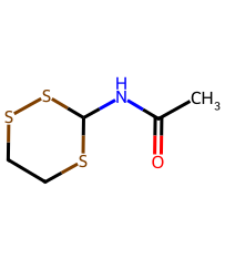 CC(=O)NC1SCCSS1